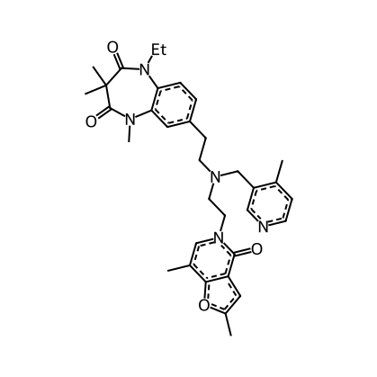 CCN1C(=O)C(C)(C)C(=O)N(C)c2cc(CCN(CCn3cc(C)c4oc(C)cc4c3=O)Cc3cnccc3C)ccc21